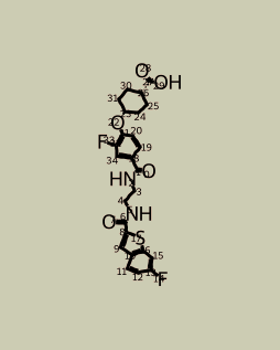 O=C(NCCNC(=O)c1cc2ccc(F)cc2s1)c1ccc(O[C@H]2CC[C@@H](C(=O)O)CC2)c(F)c1